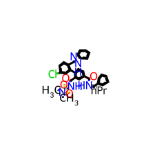 CCC[C@@H](NC(=O)c1ccc(-c2cc(Cl)ccc2-c2nc3ccccc3[nH]2)c(C(=O)NS(=O)(=O)N(C)C)c1)c1ccccc1